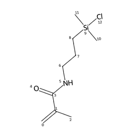 C=C(C)C(=O)NCCC[Si](C)(C)Cl